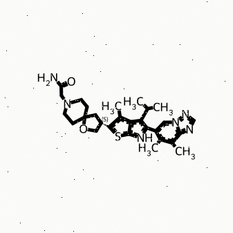 Cc1c(-c2[nH]c3sc([C@@H]4COC5(CCN(CC(N)=O)CC5)C4)c(C)c3c2C(C)C)cn2ncnc2c1C